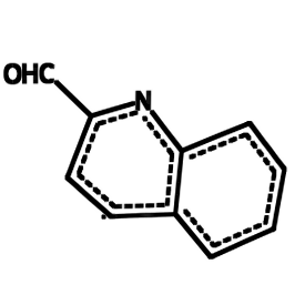 O=Cc1c[c]c2ccccc2n1